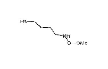 COONCCCCS